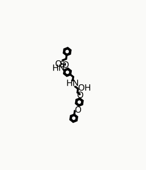 O=S(=O)(CCc1ccccc1)Nc1ccc(CCNCC(O)COc2ccc(OCc3ccccc3)cc2)cc1